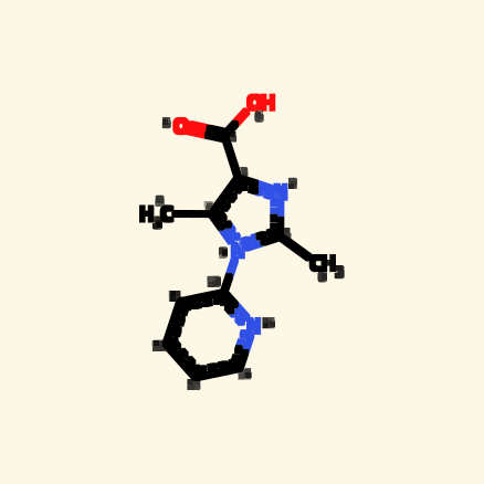 Cc1nc(C(=O)O)c(C)n1-c1ccccn1